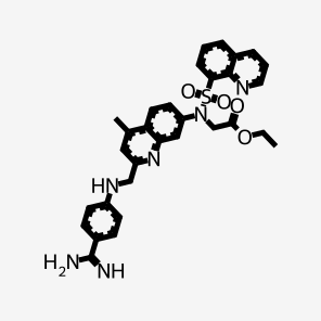 CCOC(=O)CN(c1ccc2c(C)cc(CNc3ccc(C(=N)N)cc3)nc2c1)S(=O)(=O)c1cccc2cccnc12